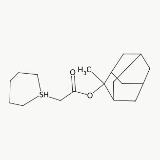 CC1(OC(=O)C[SH]2CCCCC2)C2CC3CC(C2)CC1C3